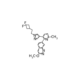 COc1cc2ccc(-c3nc(C)ccc3-c3cnn(CCC4CC(F)(F)C4)c3)cc2nn1